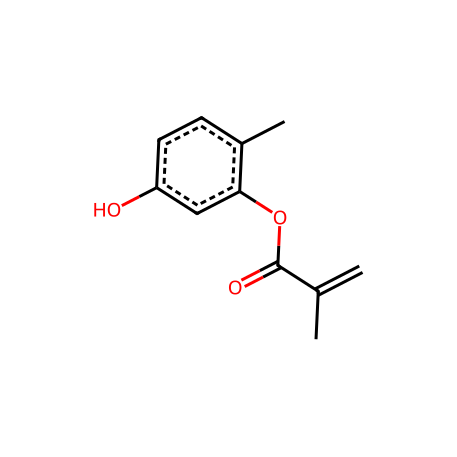 C=C(C)C(=O)Oc1cc(O)ccc1C